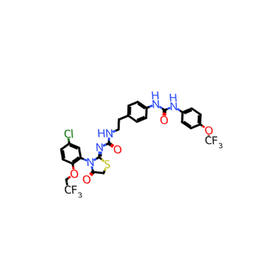 O=C(N=C1SCC(=O)N1c1cc(Cl)ccc1OCC(F)(F)F)NCCc1ccc(NC(=O)Nc2ccc(OC(F)(F)F)cc2)cc1